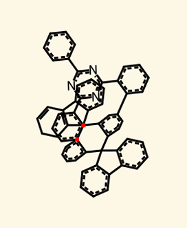 C1=CC2=C(CC1)C1(c3ccccc32)c2ccccc2C2(c3ccccc3-c3ccccc32)c2ccc(-c3ccccc3-c3nc(-c4ccccc4)nc(-c4ccccc4)n3)cc21